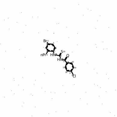 CCCc1cc(Br)ccc1NC(=S)NC(=O)c1ccc(Cl)cc1